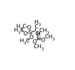 CC[Si](OC)(OC)OC.CO[SiH](OC)OC